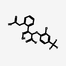 O=C(O)Cc1ccccc1C(=NO)C(Oc1ccc(C(F)(F)F)cc1Cl)[N+](=O)[O-]